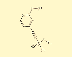 CC(O)(C#Cc1cccc(CO)c1)CF